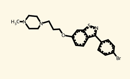 CN1CCN(CCCOc2ccc3c(-c4ccc(Br)cc4)nsc3c2)CC1